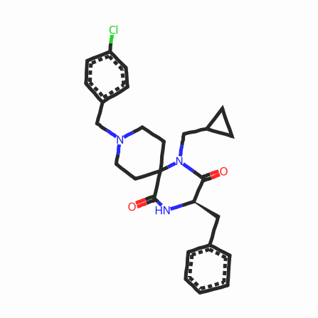 O=C1[C@@H](Cc2ccccc2)NC(=O)C2(CCN(Cc3ccc(Cl)cc3)CC2)N1CC1CC1